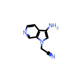 N#CCn1cc(N)c2ccncc21